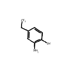 Nc1cc(CC(F)(F)F)ccc1S